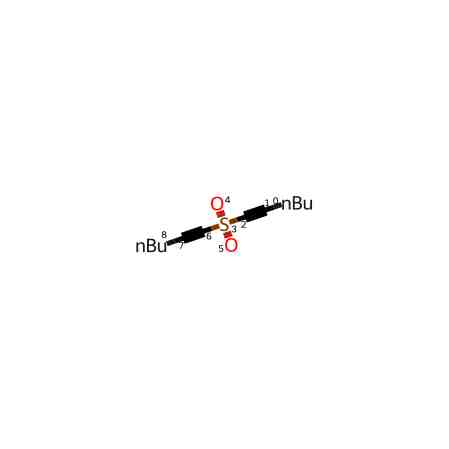 CCCCC#CS(=O)(=O)C#CCCCC